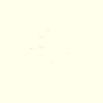 COC(=O)NCC(=O)N[C@@H](C(=O)N1CC[C@](O)(c2ccc(Cl)cc2)C(C)(C)C1)C(C)C